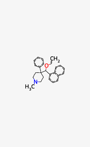 C=COC(c1cccc2ccccc12)C1(c2ccccc2)CCN(C)CC1